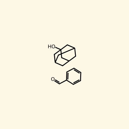 O=Cc1ccccc1.OC12CC3CC(CC(C3)C1)C2